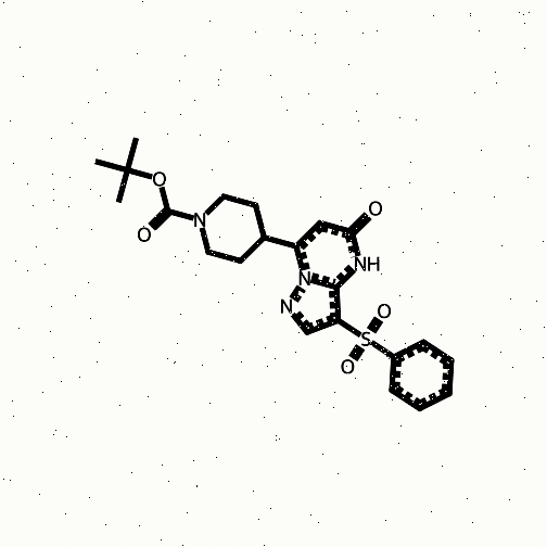 CC(C)(C)OC(=O)N1CCC(c2cc(=O)[nH]c3c(S(=O)(=O)c4ccccc4)cnn23)CC1